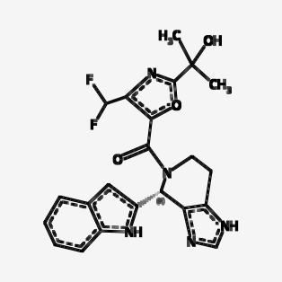 CC(C)(O)c1nc(C(F)F)c(C(=O)N2CCc3[nH]cnc3[C@@H]2c2cc3ccccc3[nH]2)o1